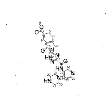 COC(=O)c1ccc2c(c1)C(=O)N(c1nc(C(=O)Nc3cnccc3N3CCNCC3)n[nH]1)C2